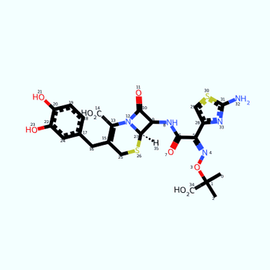 CC(C)(O/N=C(\C(=O)NC1C(=O)N2C(C(=O)O)=C(Cc3ccc(O)c(O)c3)CS[C@H]12)c1csc(N)n1)C(=O)O